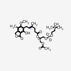 COc1c(C)c2c(c(O)c1C/C=C(\C)CCC(=O)O[C@H](COC(C)=O)COP(=O)([O-])OCC[N+](C)(C)C)C(=O)OC2